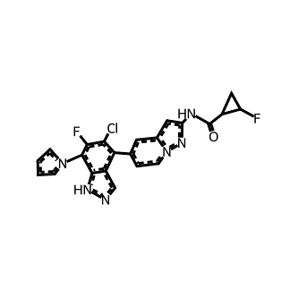 O=C(Nc1cc2cc(-c3c(Cl)c(F)c(-n4cccc4)c4[nH]ncc34)ccn2n1)C1CC1F